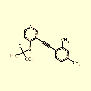 Cc1ccc(C#Cc2cnccc2SC(C)(C)C(=O)O)c(C)c1